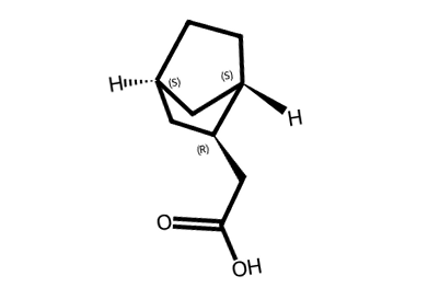 O=C(O)C[C@H]1C[C@H]2CC[C@H]1C2